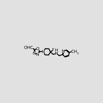 Cc1ccc(CNCC2(F)CCN(c3nnc(C=O)o3)CC2)nc1